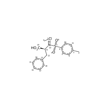 CCl.Cc1ccc(S(=O)(=O)N[C@@H](Cc2ccccc2)C(=O)O)cc1